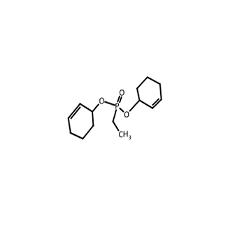 CCP(=O)(OC1C=CCCC1)OC1C=CCCC1